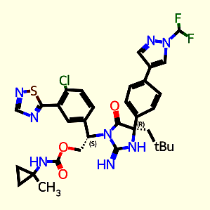 CC(C)(C)C[C@]1(c2ccc(-c3cnn(C(F)F)c3)cc2)NC(=N)N([C@H](COC(=O)NC2(C)CC2)c2ccc(Cl)c(-c3ncns3)c2)C1=O